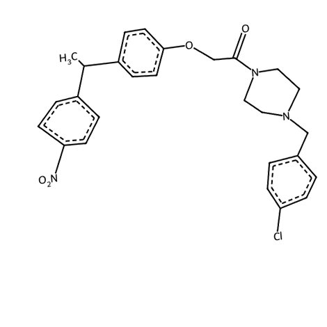 CC(c1ccc(OCC(=O)N2CCN(Cc3ccc(Cl)cc3)CC2)cc1)c1ccc([N+](=O)[O-])cc1